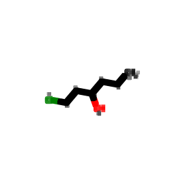 [CH2]CCC(O)C[CH]Cl